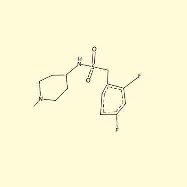 CN1CCC(NS(=O)(=O)Cc2ccc(F)cc2F)CC1